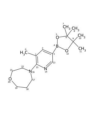 Cc1cc(B2OC(C)(C)C(C)(C)O2)cnc1N1CCCOCC1